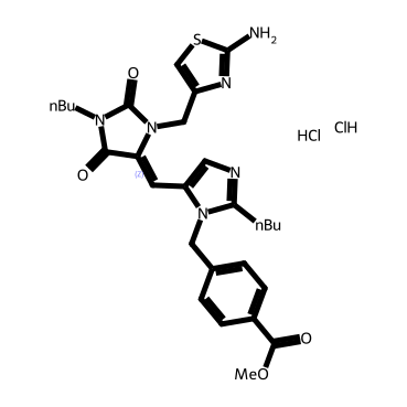 CCCCc1ncc(/C=C2/C(=O)N(CCCC)C(=O)N2Cc2csc(N)n2)n1Cc1ccc(C(=O)OC)cc1.Cl.Cl